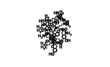 CC(C)CC(NC(=O)[C@H](Cc1ccc(O)cc1)NC(=O)C(C)Cc1c[nH]cn1)C(=O)N[C@@H](CC(N)=O)C(=O)NC(Cc1c[nH]c2ccccc12)C(=O)N[C@H](C(=O)N[C@H](C(=O)N[C@@H](CCCNC(=N)N)C(=O)NC(CCC(N)=O)C(=O)N(C)[C@@H](CCCNC(=N)N)C(=O)NC(Cc1ccc(O)cc1)C(N)=O)[C@@H](C)O)C(C)C